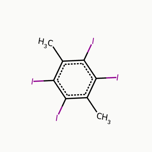 Cc1c(I)c(I)c(C)c(I)c1I